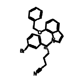 N#CCCC[C@H](c1cccc(Br)c1)n1ccc2cccc(OCc3ccccc3)c21